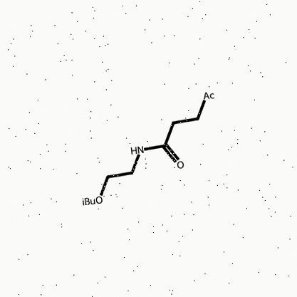 CC(=O)CCC(=O)NCCOCC(C)C